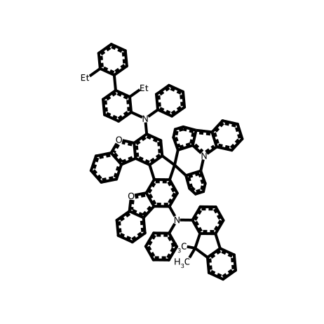 CCc1ccccc1-c1cccc(N(c2ccccc2)c2cc3c(c4c2oc2ccccc24)-c2c(cc(N(c4ccccc4)c4cccc5c4C(C)(C)c4ccccc4-5)c4c2oc2ccccc24)C32c3ccccc3-n3c4ccccc4c4cccc2c43)c1CC